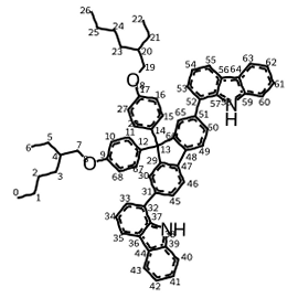 CCCCC(CC)COc1ccc(C2(c3ccc(OCC(CC)CCCC)cc3)c3cc(-c4cccc5c4[nH]c4ccccc45)ccc3-c3ccc(-c4cccc5c4[nH]c4ccccc45)cc32)cc1